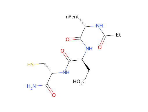 CCCCC[C@H](NC(=O)CC)C(=O)N[C@@H](CC(=O)O)C(=O)N[C@@H](CS)C(N)=O